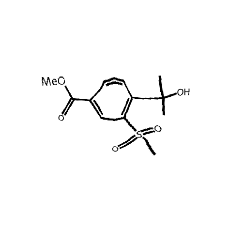 COC(=O)c1ccc(C(C)(C)O)c(S(C)(=O)=O)c1